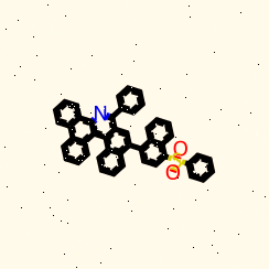 O=S(=O)(c1ccccc1)c1ccc(-c2cc3c(-c4ccccc4)nc4c5ccccc5c5ccccc5c4c3c3ccccc23)c2ccccc12